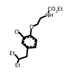 CCOC(=O)NCCOc1ccc(CC(CC)CC)cc1Cl